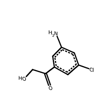 Nc1cc(Cl)cc(C(=O)CO)c1